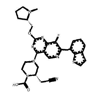 CN1CCC[C@H]1COc1nc(N2CCN(C(=O)O)[C@@H](CC#N)C2)c2cnc(-c3cccc4ccsc34)c(F)c2n1